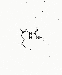 CC(CCC(C)C)=NNC(N)=S